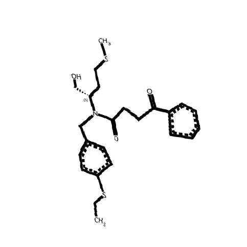 CCSc1ccc(CN(C(=O)CCC(=O)c2ccccc2)[C@H](CO)CCSC)cc1